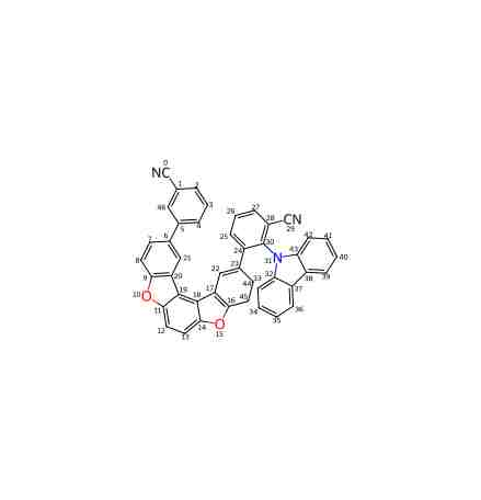 N#Cc1cccc(-c2ccc3oc4ccc5oc6c(c5c4c3c2)C=C(c2cccc(C#N)c2-n2c3ccccc3c3ccccc32)CC6)c1